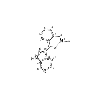 CN1Cc2ccccc2C(c2n[nH]c3ccccc23)C1